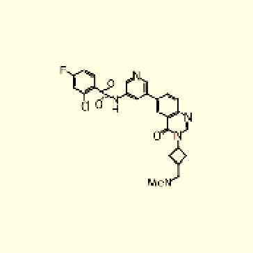 CNCC1CC(n2cnc3ccc(-c4cncc(NS(=O)(=O)c5ccc(F)cc5Cl)c4)cc3c2=O)C1